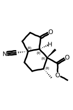 COC(=O)[C@]1(C)[C@H](C)CC[C@@]2(C#N)CCC(=O)[C@H]21